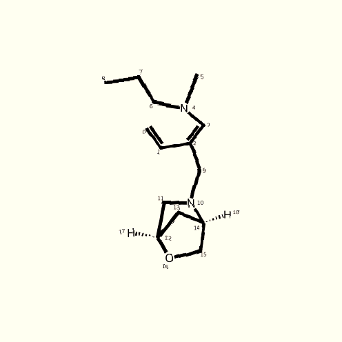 C=C/C(=C\N(C)CCC)CN1C[C@H]2C[C@@H]1CO2